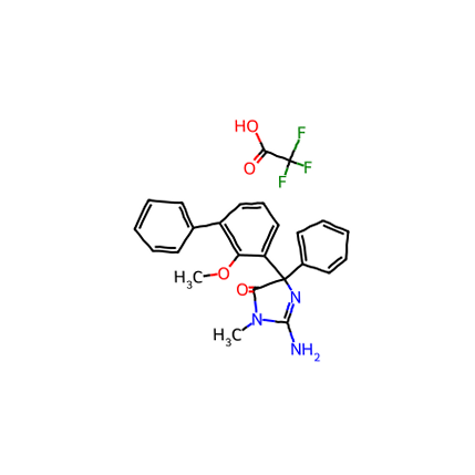 COc1c(-c2ccccc2)cccc1C1(c2ccccc2)N=C(N)N(C)C1=O.O=C(O)C(F)(F)F